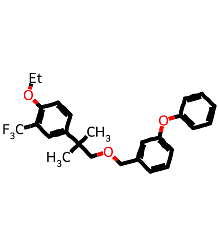 CCOc1ccc(C(C)(C)COCc2cccc(Oc3ccccc3)c2)cc1C(F)(F)F